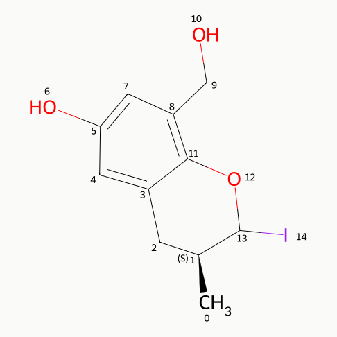 C[C@H]1Cc2cc(O)cc(CO)c2OC1I